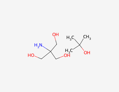 CC(C)(C)O.NC(CO)(CO)CO